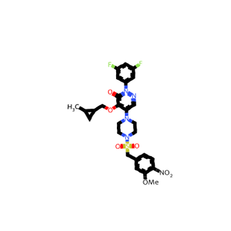 COc1cc(CS(=O)(=O)N2CCN(c3cnn(-c4cc(F)cc(F)c4)c(=O)c3OCC3CC3C)CC2)ccc1[N+](=O)[O-]